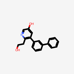 OCCc1ncc(O)cc1-c1cccc(-c2ccccc2)c1